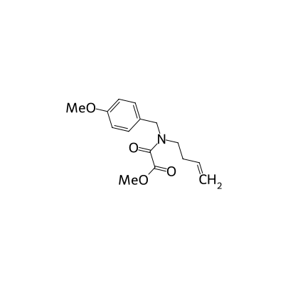 C=CCCN(Cc1ccc(OC)cc1)C(=O)C(=O)OC